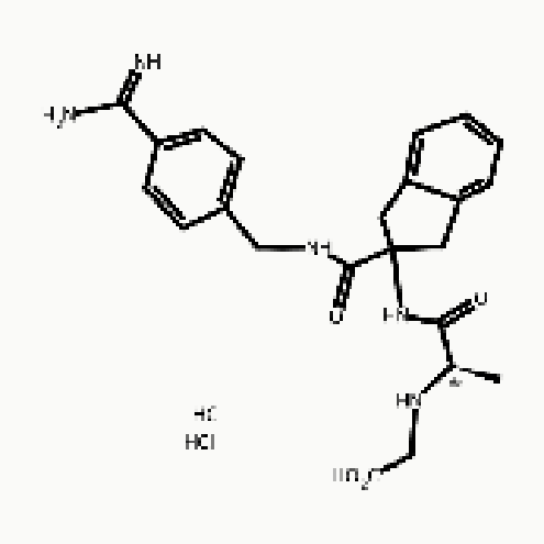 C[C@@H](NCC(=O)O)C(=O)NC1(C(=O)NCc2ccc(C(=N)N)cc2)Cc2ccccc2C1.Cl.Cl